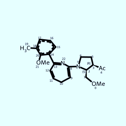 COC[C@@H]1[C@H](C(C)=O)CCN1C1=CCC=CC(c2cccc(C)c2OC)=N1